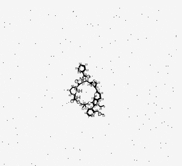 CCn1c(-c2cccnc2[C@H](C)OC)c2c3cc(ccc31)-c1csc(n1)C[C@H](NC(=O)c1ccccn1)C(=O)N1CCC[C@@](O)(N1)C(=O)OCC(C)(C)C2